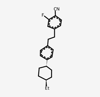 CC[C@H]1CC[C@H](c2ccc(CCc3ccc(C#N)c(F)c3)cc2)CC1